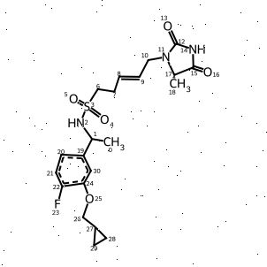 CC(NS(=O)(=O)CC/C=C/CN1C(=O)NC(=O)[C@@H]1C)c1ccc(F)c(OCC2CC2)c1